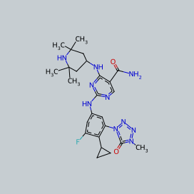 Cn1nnn(-c2cc(Nc3ncc(C(N)=O)c(NC4CC(C)(C)NC(C)(C)C4)n3)cc(F)c2C2CC2)c1=O